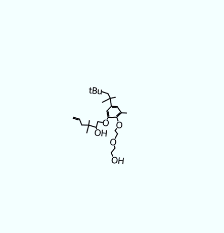 C=CCC(C)(C)C(O)COc1cc(C(C)(C)CC(C)(C)C)cc(C)c1OCCOCCO